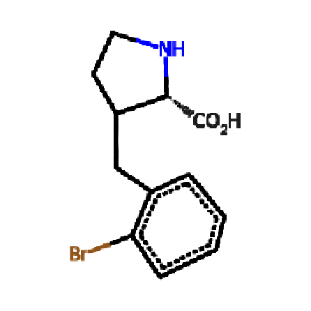 O=C(O)[C@H]1NCCC1Cc1ccccc1Br